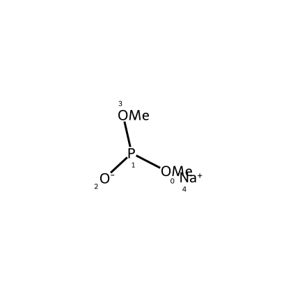 COP([O-])OC.[Na+]